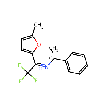 Cc1ccc(/C(=N\[C@H](C)c2ccccc2)C(F)(F)F)o1